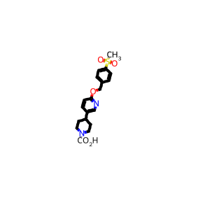 CS(=O)(=O)c1ccc(COc2ccc(C3CCN(C(=O)O)CC3)cn2)cc1